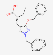 CCC(=Cc1cn(Cc2ccccc2)nc1OCc1ccccc1)C(=O)O